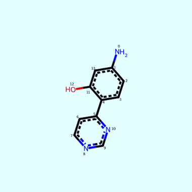 Nc1ccc(-c2ccncn2)c(O)c1